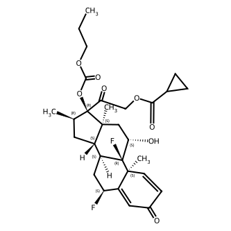 CCCOC(=O)O[C@]1(C(=O)COC(=O)C2CC2)[C@H](C)C[C@H]2[C@@H]3C[C@H](F)C4=CC(=O)C=C[C@]4(C)[C@@]3(F)[C@@H](O)C[C@@]21C